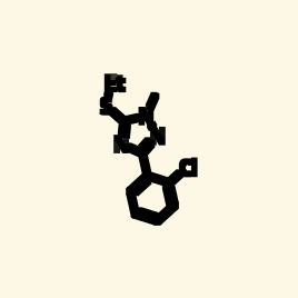 CCSc1nc(-c2ccccc2Cl)nn1C